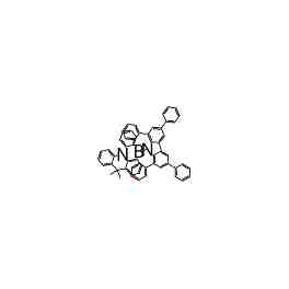 CC1(C)c2ccccc2N2c3ccccc3B(n3c4c(-c5ccccc5)cc(-c5ccccc5)cc4c4cc(-c5ccccc5)cc(-c5ccccc5)c43)c3cccc1c32